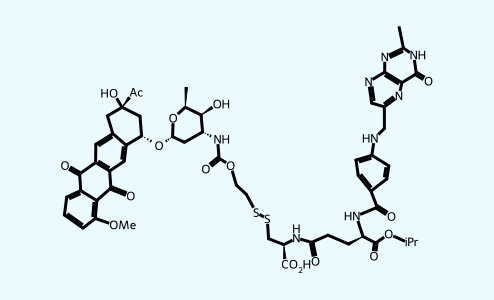 COc1cccc2c1C(=O)c1cc3c(cc1C2=O)C[C@@](O)(C(C)=O)C[C@@H]3O[C@H]1C[C@@H](NC(=O)OCCSSC[C@@H](NC(=O)CC[C@@H](NC(=O)c2ccc(NCc3cnc4nc(C)[nH]c(=O)c4n3)cc2)C(=O)OC(C)C)C(=O)O)[C@H](O)[C@H](C)O1